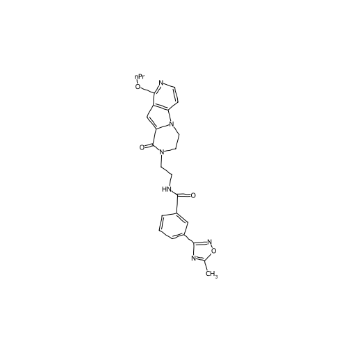 CCCOc1nccc2c1cc1n2CCN(CCNC(=O)c2cccc(-c3noc(C)n3)c2)C1=O